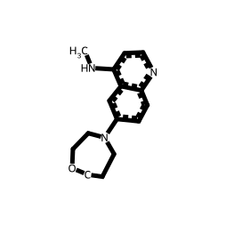 CNc1ccnc2ccc(N3CCCOCC3)cc12